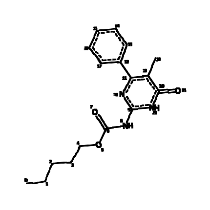 CCCCCOC(=O)Nc1nc(-c2ccccc2)c(C)c(=O)[nH]1